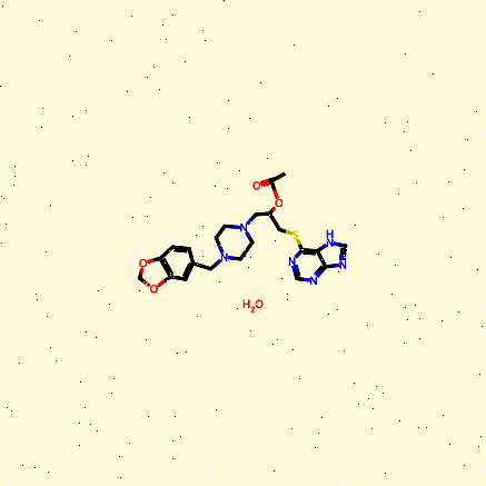 CC(=O)OC(CSc1ncnc2nc[nH]c12)CN1CCN(Cc2ccc3c(c2)OCO3)CC1.O